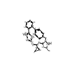 CC1NN(Cc2ccc(-c3ccccc3-c3nnn[nH]3)cc2)C(=NC(=O)C2CC2)S1